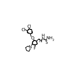 NC(=S)NN=Cc1cc(F)c(N2CCCCC2)cc1OCc1ccc(Cl)c(Cl)c1